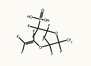 O=P(O)(O)C(F)(F)C(F)(F)OC(F)(C(F)(F)F)C(F)(F)OC(F)=C(F)F